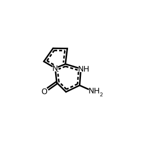 Nc1cc(=O)n2cccc2[nH]1